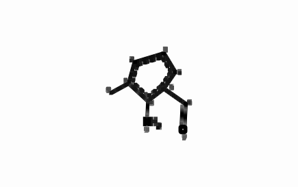 Cc1cccc(C=O)c1N